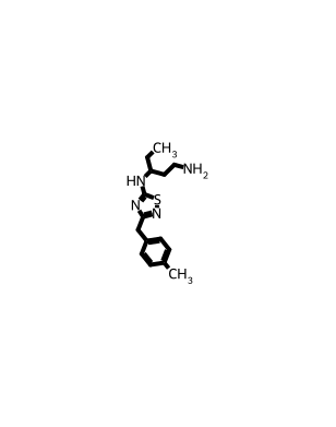 CCC(CCN)Nc1nc(Cc2ccc(C)cc2)ns1